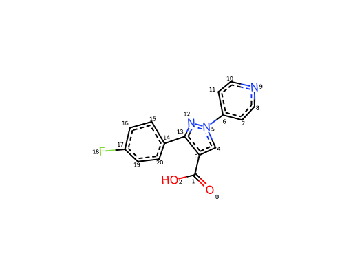 O=C(O)c1cn(-c2ccncc2)nc1-c1ccc(F)cc1